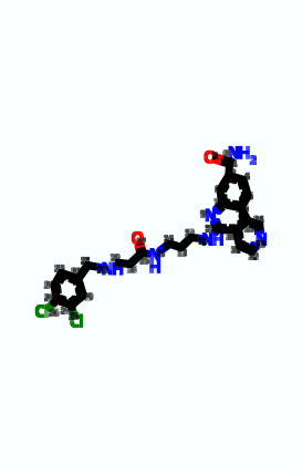 NC(=O)c1ccc2c(c1)nc(NCCCNC(=O)CCNCc1ccc(Cl)c(Cl)c1)c1ccncc12